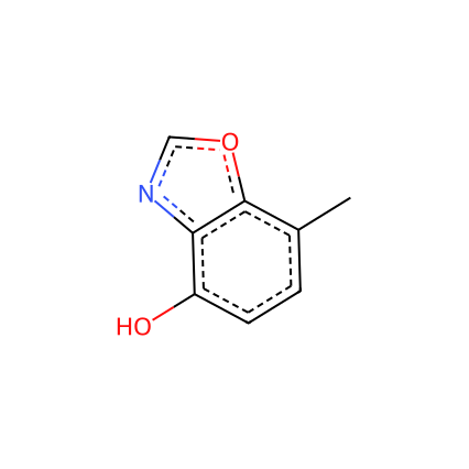 Cc1ccc(O)c2ncoc12